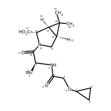 CC(C)(C)[C@H](NC(=O)COC1CC1)C(=O)N1C[C@H]2[C@@H]([C@H]1C(=O)O)C2(C)C